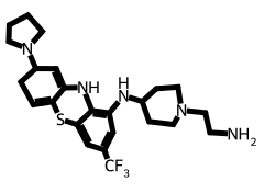 NCCN1CCC(Nc2cc(C(F)(F)F)cc3c2NC2=CC(N4CCCC4)CC=C2S3)CC1